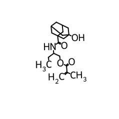 C=C(C)C(=O)OCC(CC)NC(=O)C12CC3CC(CC(O)(C3)C1)C2